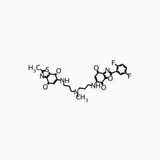 Cc1nc2c(s1)C(=O)C(NCCCN(C)CCCNC1=CC(=O)c3nc(-c4cc(F)ccc4F)oc3C1=O)=CC2=O